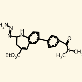 CCOC(=O)C1=Cc2cc(-c3ccc(C(=O)N(C)C)cc3)ccc2NC(N=NN)C1